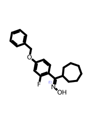 O/N=C(/c1ccc(OCc2ccccc2)cc1F)C1CCCCCC1